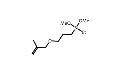 C=C(C)COCCC[Si](CC)(OC)OC